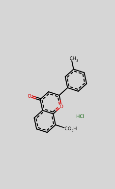 Cc1cccc(-c2cc(=O)c3cccc(C(=O)O)c3o2)c1.Cl